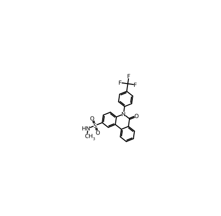 CNS(=O)(=O)c1ccc2c(c1)c1ccccc1c(=O)n2-c1ccc(C(F)(F)F)cc1